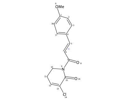 COc1ccc(/C=C/C(=O)N2CCC=C(Cl)C2=O)cc1